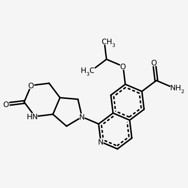 CC(C)Oc1cc2c(N3CC4COC(=O)NC4C3)nccc2cc1C(N)=O